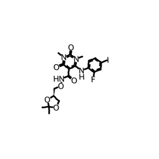 Cn1c(Nc2ccc(I)cc2F)c(C(=O)NOC[C@H]2COC(C)(C)O2)c(=O)n(C)c1=O